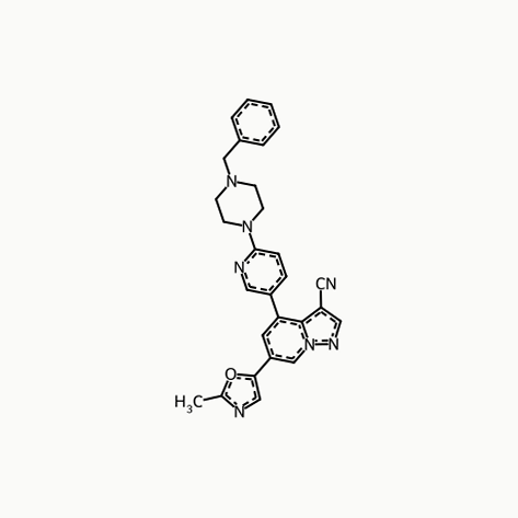 Cc1ncc(-c2cc(-c3ccc(N4CCN(Cc5ccccc5)CC4)nc3)c3c(C#N)cnn3c2)o1